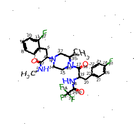 CNC(=O)C(Cc1ccccc1F)N1CCN(C(=O)C(Cc2ccc(F)cc2)NC(=O)C(F)(F)F)C(C)C1